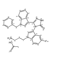 CC(=O)O.NCCCn1cc(-n2c(-c3cn(Cc4ccccc4)c4ccccc34)n[nH]c2=O)c2cc(F)ccc21